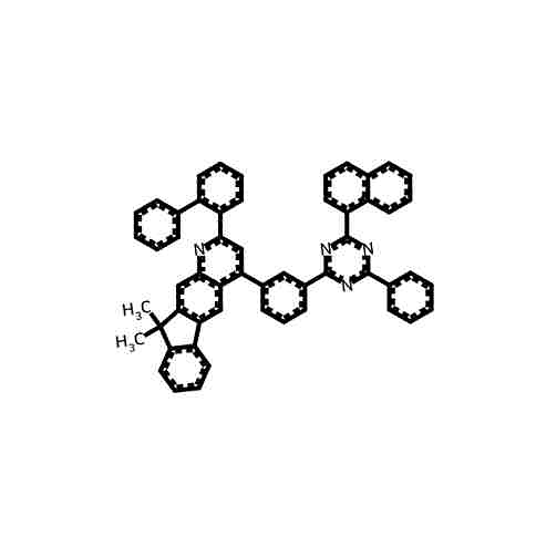 CC1(C)c2ccccc2-c2cc3c(-c4cccc(-c5nc(-c6ccccc6)nc(-c6cccc7ccccc67)n5)c4)cc(-c4ccccc4-c4ccccc4)nc3cc21